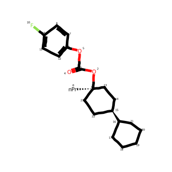 CCC[C@]1(OC(=O)Oc2ccc(F)cc2)CC[C@@H](C2CCCCC2)CC1